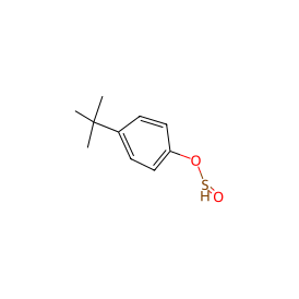 CC(C)(C)c1ccc(O[SH]=O)cc1